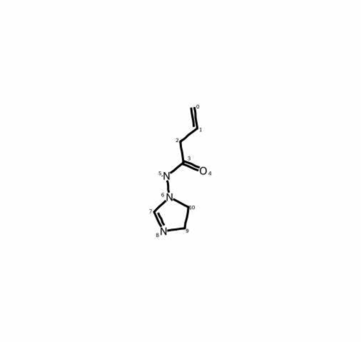 C=CCC(=O)[N]N1C=NCC1